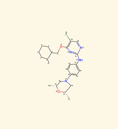 CC1CCCCC1COc1nc(Nc2ccc(N3C[C@@H](C)O[C@@H](C)C3)cc2)ncc1F